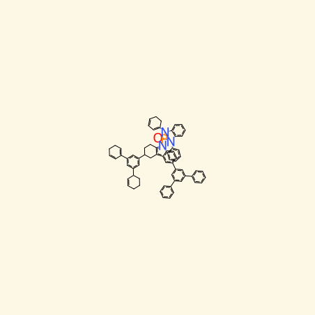 O=P1(n2c3c(c4cc(-c5cc(-c6ccccc6)cc(-c6ccccc6)c5)ccc42)CC(c2cc(C4=CCCC=C4)cc(C4C=CCCC4)c2)CC3)N(C2=CC=CCC2)c2ccccc2N1c1ccccc1